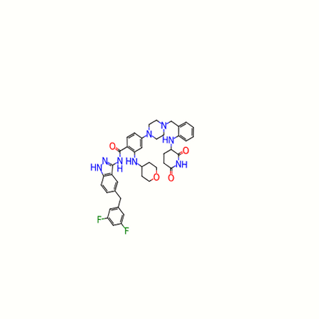 O=C1CCC(Nc2ccccc2CN2CCN(c3ccc(C(=O)Nc4n[nH]c5ccc(Cc6cc(F)cc(F)c6)cc45)c(NC4CCOCC4)c3)CC2)C(=O)N1